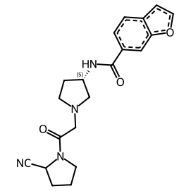 N#CC1CCCN1C(=O)CN1CC[C@H](NC(=O)c2ccc3ccoc3c2)C1